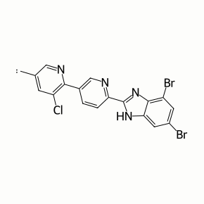 [CH]c1cnc(-c2ccc(-c3nc4c(Br)cc(Br)cc4[nH]3)nc2)c(Cl)c1